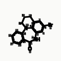 O=C1Nc2cc(Br)cc3c2N(CCC3)c2ccccc21